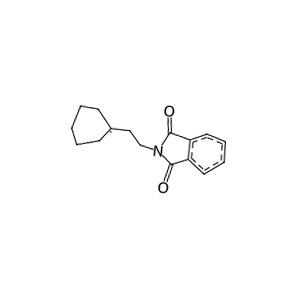 O=C1c2ccccc2C(=O)N1CC[C]1CCCCC1